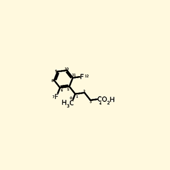 CC(CCC(=O)O)c1c(F)cccc1F